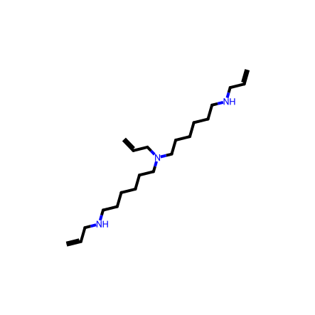 C=CCNCCCCCCN(CC=C)CCCCCCNCC=C